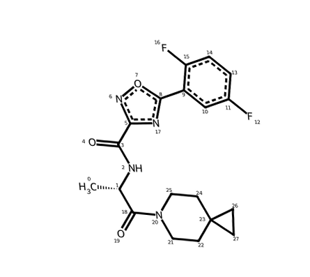 C[C@H](NC(=O)c1noc(-c2cc(F)ccc2F)n1)C(=O)N1CCC2(CC1)CC2